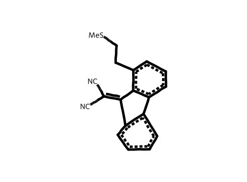 CSCCc1cccc2c1C(=C(C#N)C#N)c1ccccc1-2